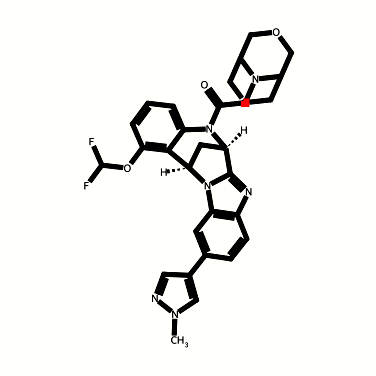 Cn1cc(-c2ccc3nc4n(c3c2)[C@@H]2C[C@H]4N(C(=O)CN3C4COCC3COC4)c3cccc(OC(F)F)c32)cn1